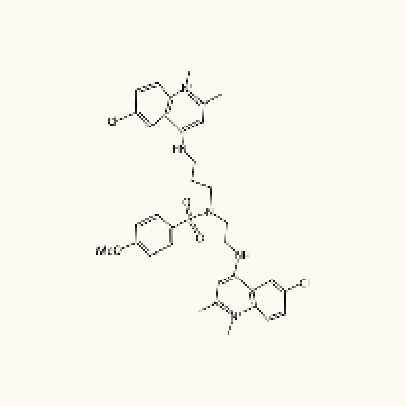 COc1ccc(S(=O)(=O)N(CCCNc2cc(C)[n+](C)c3ccc(Cl)cc23)CCNc2cc(C)[n+](C)c3ccc(Cl)cc23)cc1